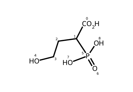 O=C(O)C(CCO)P(=O)(O)O